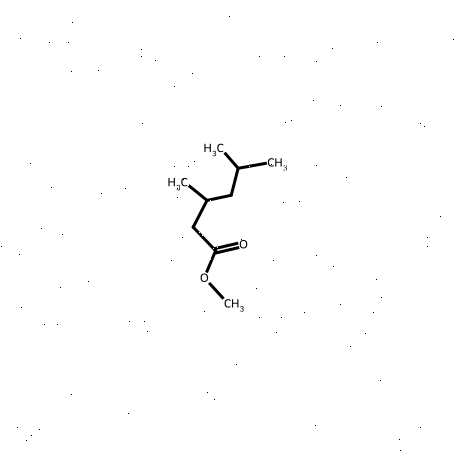 COC(=O)CC(C)CC(C)C